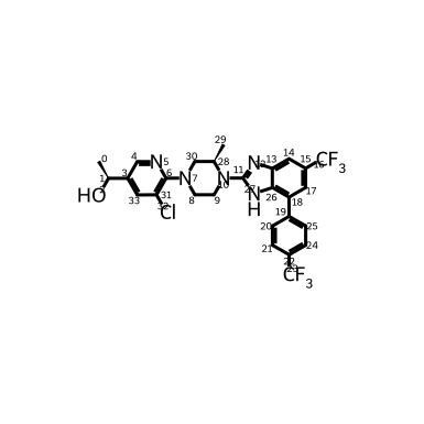 C[C@H](O)c1cnc(N2CCN(c3nc4cc(C(F)(F)F)cc(-c5ccc(C(F)(F)F)cc5)c4[nH]3)[C@H](C)C2)c(Cl)c1